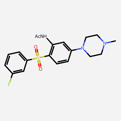 CC(=O)Nc1cc(N2CCN(C)CC2)ccc1S(=O)(=O)c1cccc(F)c1